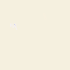 COC(=O)C=Cc1ccc(Cl)cc1N